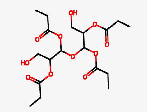 CCC(=O)OC(CO)C(OC(=O)CC)OC(OC(=O)CC)C(CO)OC(=O)CC